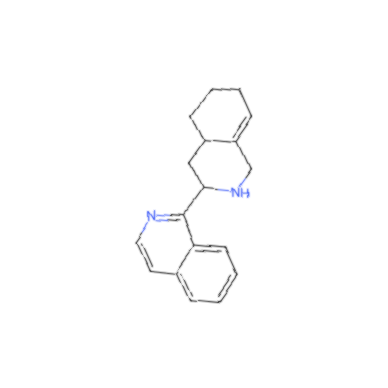 C1=C2CNC(c3nccc4ccccc34)CC2CCC1